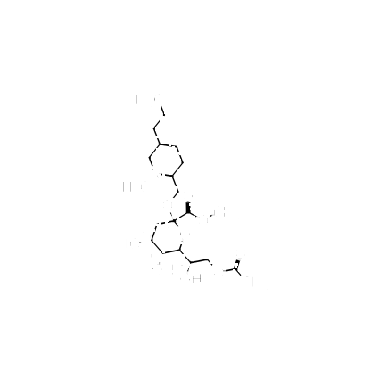 CCCC1CCC(CO[C@]2(C(=O)OC)C[C@@H](O)[C@@H](O)C([C@H](O)COC(C)=O)O2)N(C)C1